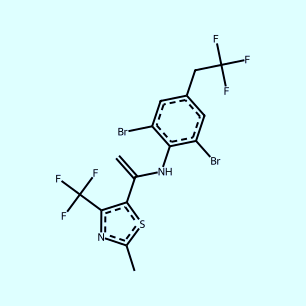 C=C(Nc1c(Br)cc(CC(F)(F)F)cc1Br)c1sc(C)nc1C(F)(F)F